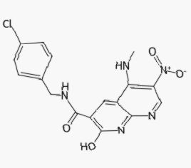 CNc1c([N+](=O)[O-])cnc2nc(O)c(C(=O)NCc3ccc(Cl)cc3)cc12